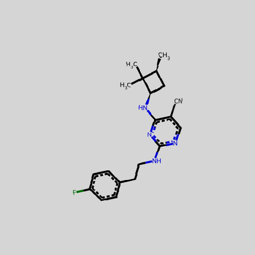 C[C@H]1C[C@@H](Nc2nc(NCCc3ccc(F)cc3)ncc2C#N)C1(C)C